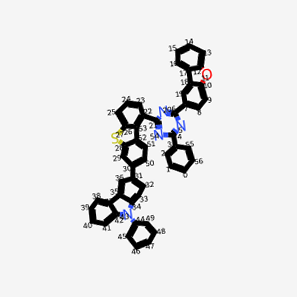 c1ccc(-c2nc(-c3ccc4oc5ccccc5c4c3)nc(-c3cccc4sc5cc(-c6ccc7c(c6)c6ccccc6n7-c6ccccc6)ccc5c34)n2)cc1